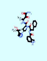 CC(NC(=O)[C@@H]1C[C@H](n2nncc2C(C)(C)O)CN1C(=O)/C(CC1CCCCC1)=N/C(=O)c1cccc2[nH]ncc12)C(=O)C(N)=O